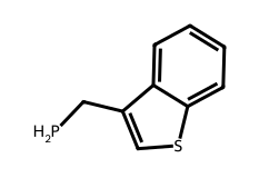 PCc1csc2ccccc12